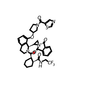 O=C(NCC(F)(F)F)[C@H]1CCCC[C@H]1C(=O)N1CCc2cccc(O[C@H]3CCN(C(=O)c4cncs4)C3)c2[C@H]1C1C[N+]12C(=O)c1ccccc1C2=O